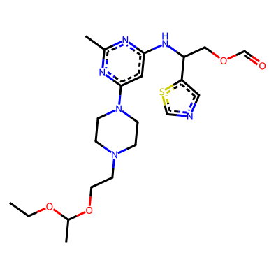 CCOC(C)OCCN1CCN(c2cc(NC(COC=O)c3cncs3)nc(C)n2)CC1